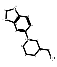 OCC1CCCN(c2ccc3c(c2)OCO3)C1